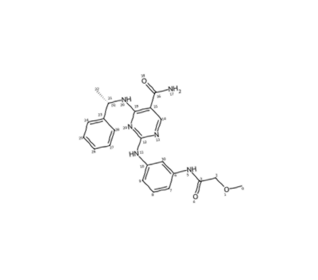 COCC(=O)Nc1cccc(Nc2ncc(C(N)=O)c(N[C@@H](C)c3ccccc3)n2)c1